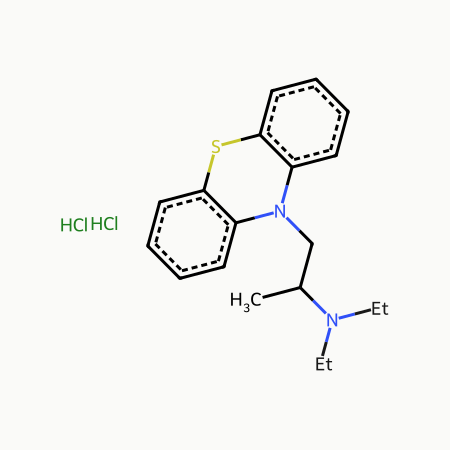 CCN(CC)C(C)CN1c2ccccc2Sc2ccccc21.Cl.Cl